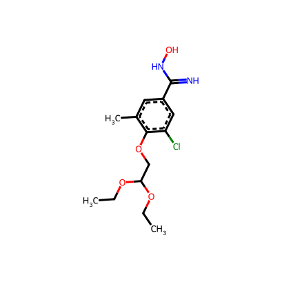 CCOC(COc1c(C)cc(C(=N)NO)cc1Cl)OCC